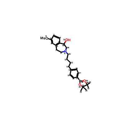 COc1ccc2c(c1)CCN(CCCCc1ccc(B3OC(C)(C)C(C)(C)O3)cc1)CC2O